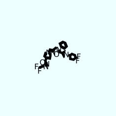 O=C(C1CN(C2CCC(F)(F)CC2)C1)N(Cc1cn2ccc(-c3nnc(C(F)F)o3)cc2n1)c1ccccc1